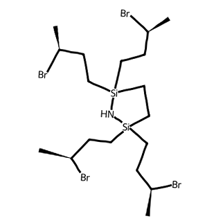 C[C@H](Br)CC[Si]1(CC[C@H](C)Br)CC[Si](CC[C@H](C)Br)(CC[C@H](C)Br)N1